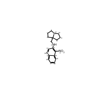 O=[N+]([O-])c1c(NCC23CCCN2CCC3)cnc2ccccc12